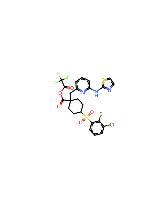 O=C(OC(=O)C1(Cc2cccc(Nc3nccs3)n2)CCC(S(=O)(=O)c2cccc(Cl)c2Cl)CC1)C(F)(F)F